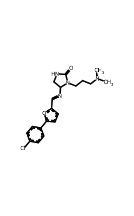 CN(C)CCCN1C(=O)NCC1N=Cc1ccc(-c2ccc(Cl)cc2)o1